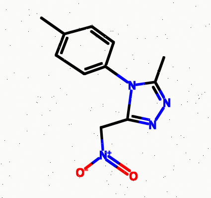 Cc1ccc(-n2c(C)nnc2C[N+](=O)[O-])cc1